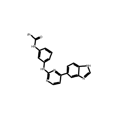 CC(C)C(=O)Nc1cccc(Nc2nccc(-c3ccc4[nH]cnc4c3)n2)c1